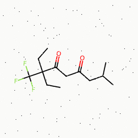 CCC(CC)(C(=O)CC(=O)CC(C)C)C(F)(F)F